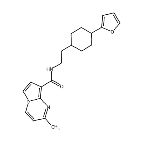 Cc1ccn2ccc(C(=O)NCCC3CCC(c4ccco4)CC3)c2n1